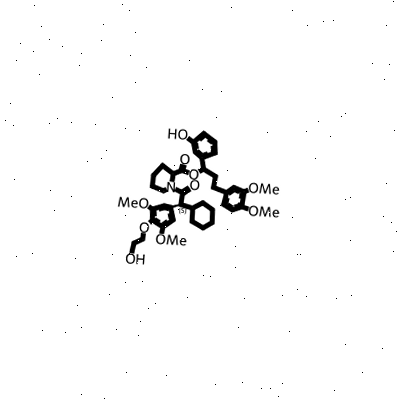 COc1ccc(CCC(OC(=O)C2CCCCN2C(=O)[C@H](c2cc(OC)c(OCCO)c(OC)c2)C2CCCCC2)c2cccc(O)c2)cc1OC